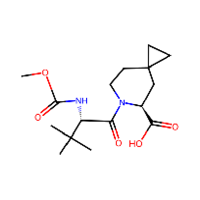 COC(=O)N[C@H](C(=O)N1CCC2(CC2)C[C@H]1C(=O)O)C(C)(C)C